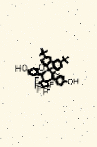 CC(C)(C)c1ccc(C2(c3ccc(C(C)(C)C)cc3)c3oc4cc(O)ccc4c3C3=C(c4c2oc2cc(O)ccc42)C(F)(F)C(F)(F)C3(F)F)cc1